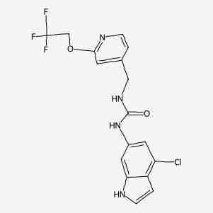 O=C(NCc1ccnc(OCC(F)(F)F)c1)Nc1cc(Cl)c2cc[nH]c2c1